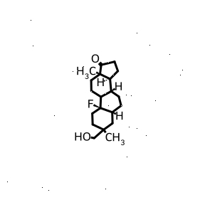 CC1(CO)CC[C@]2(F)C3CC[C@]4(C)C(=O)CC[C@H]4[C@@H]3CC[C@@H]2C1